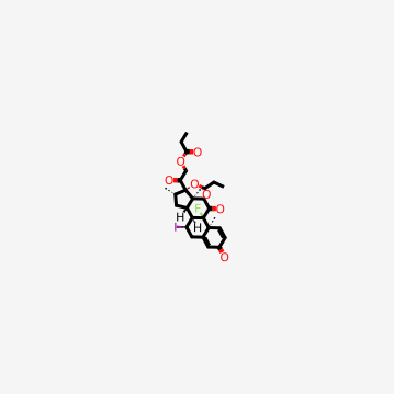 CCC(=O)OCC(=O)[C@]1(OC(=O)CC)[C@@H](C)C[C@H]2[C@@H]3[C@H](I)CC4=CC(=O)C=C[C@]4(C)[C@@]3(F)C(=O)C[C@@]21C